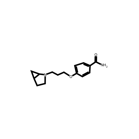 NC(=O)c1ccc(OCCCN2CCC3CC32)cc1